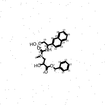 CN(CC(O)C(=O)OCc1ccccc1)C(=O)NC(CC(=O)O)c1ccc2ccccc2c1